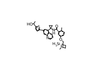 Cc1ccc(OC[C@@]2([SiH3])CCN2C)cc1C(=O)NC1(c2cc(-c3ccc(C(C)O)s3)cc3ncccc23)CC1